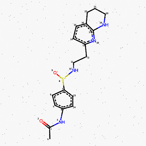 CC(=O)Nc1ccc([S+]([O-])NCCc2ccc3c(n2)NCCC3)cc1